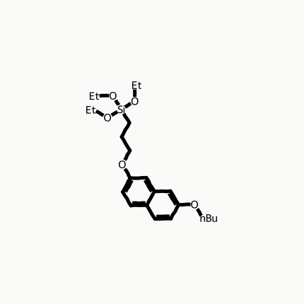 CCCCOc1ccc2ccc(OCCC[Si](OCC)(OCC)OCC)cc2c1